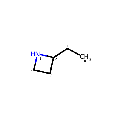 CCC1CCN1